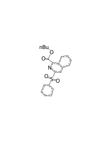 CCCCOC(=O)c1nc(S(=O)(=O)c2ccccc2)cc2ccccc12